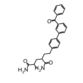 CC(CC(CCc1ccc(-c2cccc(C(=O)c3ccccc3)c2)cc1)C(N)=O)C(N)=O